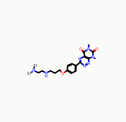 CCN(CC)CCNCCCOc1ccc(-c2nnc3c(n2)c(=O)n(C)c(=O)n3C)cc1